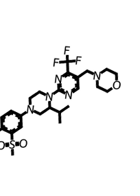 CC(C)C1CN(c2ccc(F)c(S(C)(=O)=O)c2)CCN1c1ncc(CN2CCOCC2)c(C(F)(F)F)n1